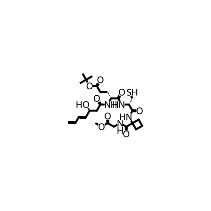 C=C/C=C/[C@@H](O)CC(=O)N[C@H](CCC(=O)OC(C)(C)C)C(=O)N[C@H](CS)C(=O)NC1(C(=O)NCC(=O)OC)CCC1